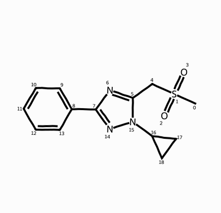 CS(=O)(=O)Cc1nc(-c2ccccc2)nn1C1CC1